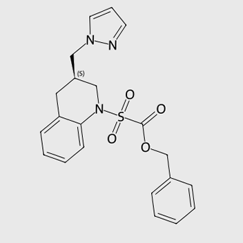 O=C(OCc1ccccc1)S(=O)(=O)N1C[C@H](Cn2cccn2)Cc2ccccc21